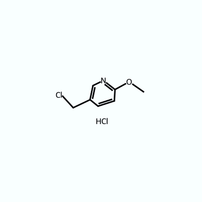 COc1ccc(CCl)cn1.Cl